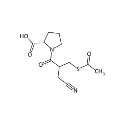 CC(=O)SCC(CC#N)C(=O)N1CCC[C@H]1C(=O)O